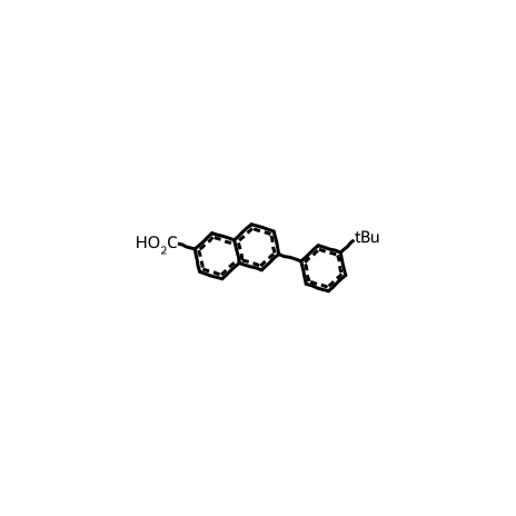 CC(C)(C)c1cccc(-c2ccc3cc(C(=O)O)ccc3c2)c1